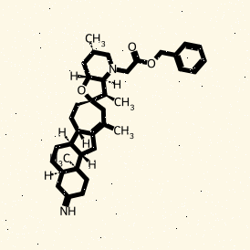 CC1=C2C[C@H]3[C@@H](CC[C@@H]4CC(=N)CC[C@@]43C)[C@@H]2CC[C@@]2(C1)O[C@@H]1C[C@H](C)CN(CC(=O)OCc3ccccc3)[C@H]1[C@H]2C